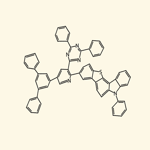 c1ccc(-c2cc(-c3ccccc3)cc(-c3cnc(-c4ccc5sc6c(ccc7c6c6ccccc6n7-c6ccccc6)c5c4)c(-c4nc(-c5ccccc5)nc(-c5ccccc5)n4)c3)c2)cc1